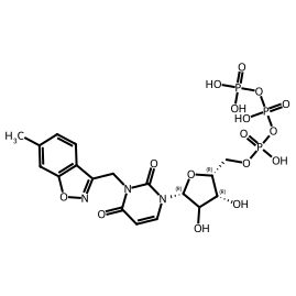 Cc1ccc2c(Cn3c(=O)ccn([C@@H]4O[C@H](COP(=O)(O)OP(=O)(O)OP(=O)(O)O)[C@H](O)C4O)c3=O)noc2c1